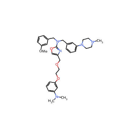 COc1cccc(CN(Cc2cccc(N3CCN(C)CC3)c2)c2nc(COCCOc3cccc(N(C)C)c3)co2)c1